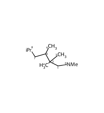 CNCC(C)(C)C(C)CC(C)C